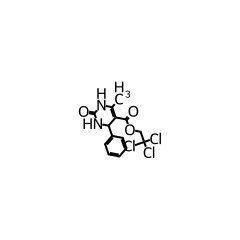 CC1=C(C(=O)OCC(Cl)(Cl)Cl)C(c2ccccc2)NC(=O)N1